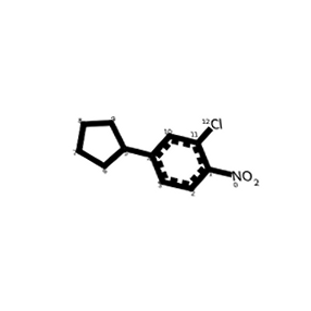 O=[N+]([O-])c1c[c]c(C2CCCC2)cc1Cl